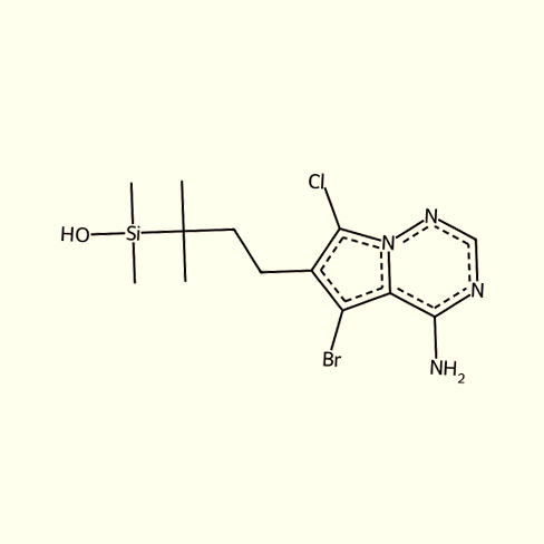 CC(C)(CCc1c(Br)c2c(N)ncnn2c1Cl)[Si](C)(C)O